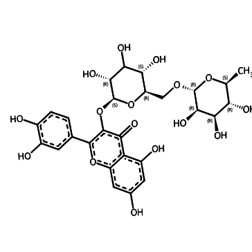 C[C@@H]1O[C@@H](OC[C@H]2O[C@@H](Oc3c(-c4ccc(O)c(O)c4)oc4cc(O)cc(O)c4c3=O)[C@H](O)C(O)[C@@H]2O)[C@H](O)[C@H](O)[C@H]1O